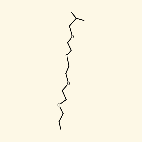 CCCOCCOCCOCCOCC(C)C